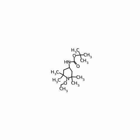 CCON1C(C)(C)CC(NC(=O)OC(C)(C)C)CC1(C)C